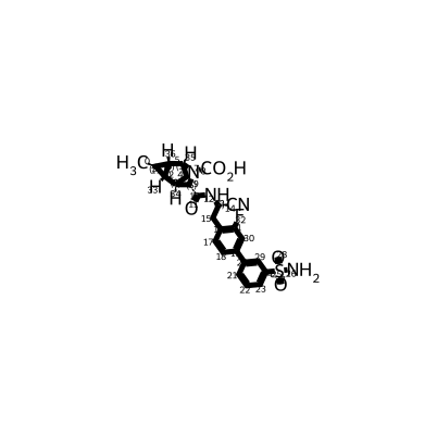 C[C@H]1[C@H]2[C@H]3C[C@@H]([C@@H]12)N(C(=O)O)[C@@H]3C(=O)N[C@H](C#N)Cc1ccc(-c2cccc(S(N)(=O)=O)c2)cc1F